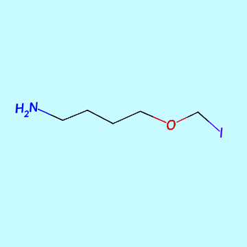 NCCCCOCI